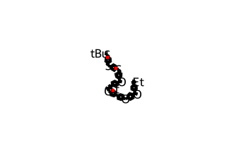 CCC(C)(C)c1ccc(C(=O)c2ccc(Oc3ccc(-c4ccc(OC(C)C(C)(CC)c5ccc(C(=O)c6ccc(Sc7ccc(Sc8ccc(SC(C)(C)C)cc8)cc7)cc6)cc5)cc4)cc3)cc2)cc1